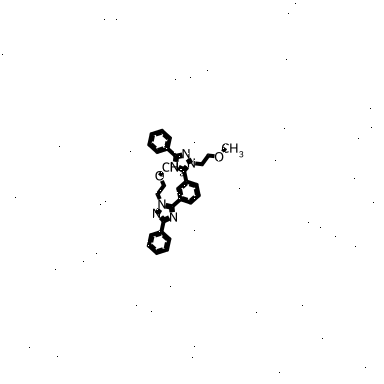 COCCn1nc(-c2ccccc2)nc1-c1cccc(-c2nc(-c3ccccc3)nn2CCOC)c1